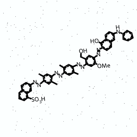 COc1cc(N=Nc2cc(C)c(N=Nc3cc(C)c(N=Nc4ccc5cccc(S(=O)(=O)O)c5c4)cc3C)cc2C)c(CO)cc1N=Nc1ccc2cc(Nc3ccccc3)ccc2c1O